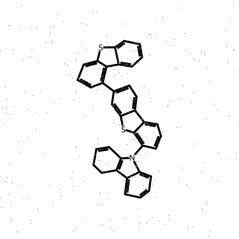 C1=Cc2c(c3ccccc3n2-c2cccc3c2sc2cc(-c4cccc5sc6ccccc6c45)ccc23)CC1